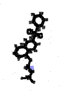 CN(C)/C=N/Cc1cccc2cc(S(=O)(=O)c3ccccc3)ccc12